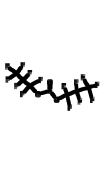 O=S(OC(F)(F)C(F)(F)C(F)(F)F)OC(F)(F)C(F)(F)C(F)(F)F